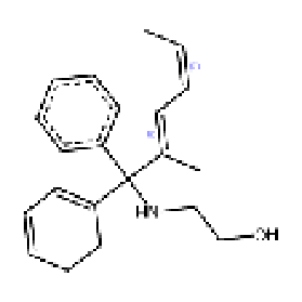 C/C=C\C=C(/C)C(NCCO)(C1=CC=CCC1)c1ccccc1